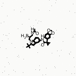 B[C@@H](CNC(C)=O)Cn1c(C(C)(C)C)cc2cc(NC(=O)C3(c4ccc5c(c4)OCO5)CC3)ccc21